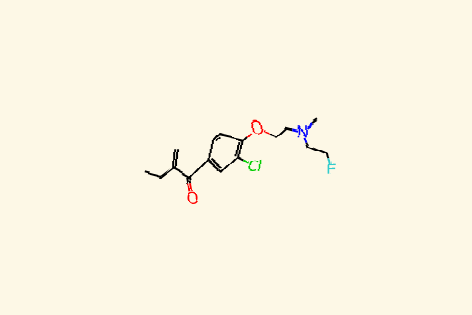 C=C(CC)C(=O)c1ccc(OCCN(C)CCF)c(Cl)c1